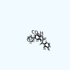 Cc1cccc(C(C)n2c(C)nc3c(C(=O)O)cc(N4CCOCC4)cc32)c1C